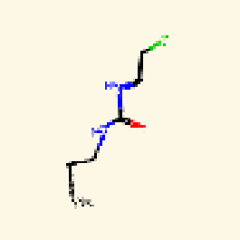 CSCCNC(=O)NCCCl